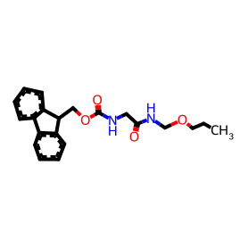 CCCOCNC(=O)CNC(=O)OCC1c2ccccc2-c2ccccc21